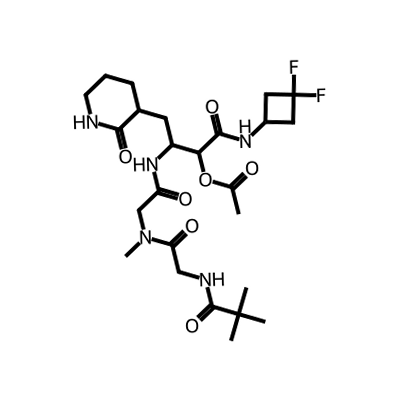 CC(=O)OC(C(=O)NC1CC(F)(F)C1)C(CC1CCCNC1=O)NC(=O)CN(C)C(=O)CNC(=O)C(C)(C)C